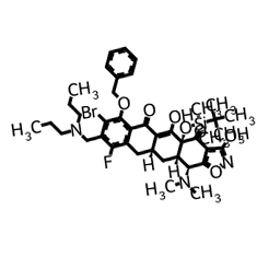 CCCN(CCC)Cc1c(F)c2c(c(OCc3ccccc3)c1Br)C(=O)C1=C(O)[C@]3(O[Si](C)(C)C(C)(C)C)C(=O)c4c(O)noc4[C@@H](N(C)C)[C@@H]3C[C@@H]1C2